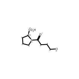 O=C(O)[C@@H]1CCCN1C(=O)CCCCl